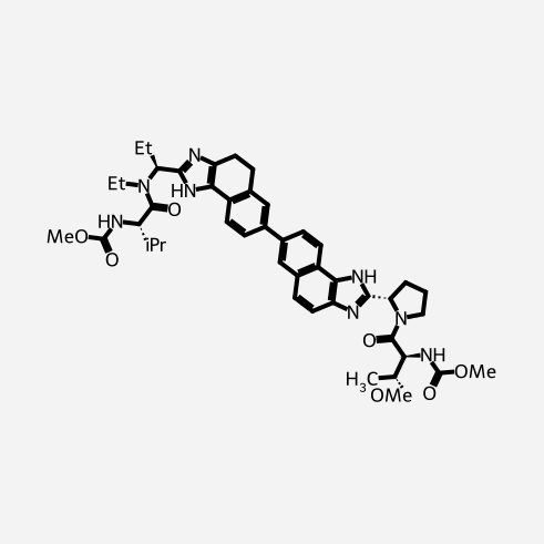 CC[C@@H](c1nc2c([nH]1)-c1ccc(-c3ccc4c(ccc5nc([C@@H]6CCCN6C(=O)[C@@H](NC(=O)OC)[C@@H](C)OC)[nH]c54)c3)cc1CC2)N(CC)C(=O)[C@@H](NC(=O)OC)C(C)C